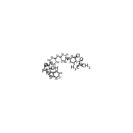 CN(C)C(=O)c1ccc(N2CCC(CC3CCN(C(=O)C(O)(c4csc5ccccc45)C(F)(F)F)CC3)CC2)cc1Cl